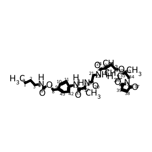 CCCCNC(=O)OCc1ccc(NC(=O)C(C)NC(=O)CNC(=O)C(C)(C)CCOC(C)(C)CN2C(=O)C=CC2=O)cc1